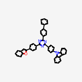 c1ccc(-c2ccc(-c3nc(-c4ccc(-c5cc6ccccc6o5)cc4)nc(-c4ccc(-n5c6ccccc6c6ccccc65)cc4)n3)cc2)cc1